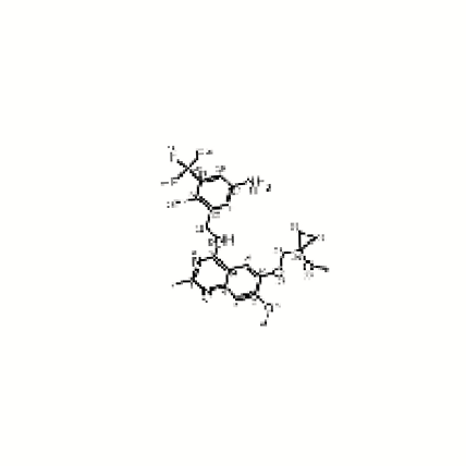 COc1cc2nc(C)nc(NCc3cc(N)cc(C(F)(F)F)c3F)c2cc1OCC1(OC)CC1